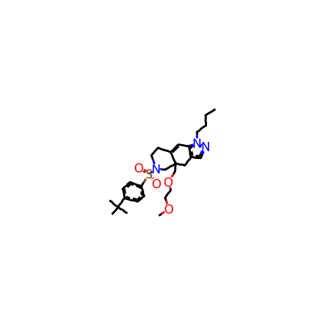 CCCCn1ncc2c1C=C1CCN(S(=O)(=O)c3ccc(C(C)(C)C)cc3)CC1(COCCOC)C2